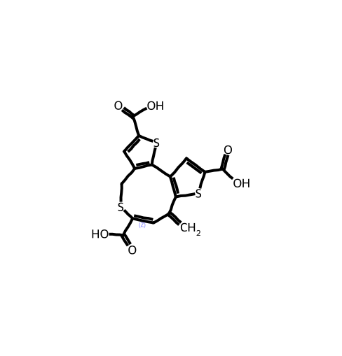 C=C1/C=C(/C(=O)O)SCc2cc(C(=O)O)sc2-c2cc(C(=O)O)sc21